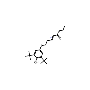 CCOC(=O)/C=C/CCSc1cc(C(C)(C)C)c(O)c(C(C)(C)C)c1